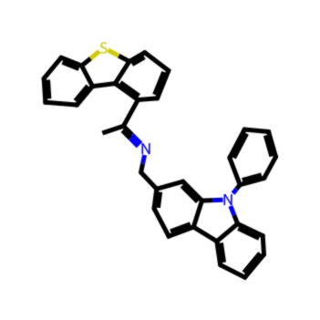 C/C(=N\Cc1ccc2c3ccccc3n(-c3ccccc3)c2c1)c1cccc2sc3ccccc3c12